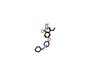 CCc1c[nH]c(=O)c2ccc(OC3CCN(CC4CCCCC4)CC3)cc12